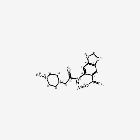 COC(=O)c1cc2c(cc1NC(=O)CN1CCN(C(C)=O)CC1)OCO2